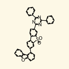 O=S1(=O)c2cc(-c3nc(-c4ccccc4)nc(-c4ccccc4)n3)ccc2-c2ccc(-c3cccc4oc5ccccc5c34)cc21